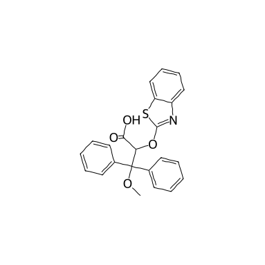 COC(c1ccccc1)(c1ccccc1)C(Oc1nc2ccccc2s1)C(=O)O